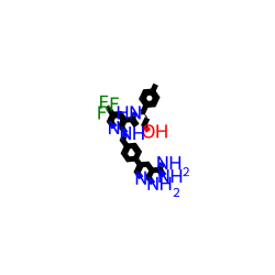 C=C(N[C@@H](CCO)c1ccc(C)cc1)c1cc(C(F)(F)F)cnc1NCC1=CCC(C2=CN=C(N)C(C(=N)N)C2)C=C1